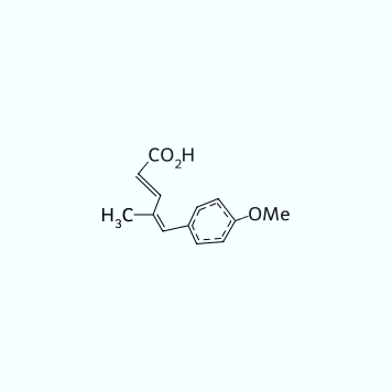 COc1ccc(C=C(C)C=CC(=O)O)cc1